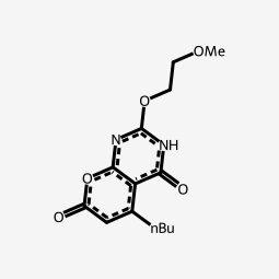 CCCCc1cc(=O)oc2nc(OCCOC)[nH]c(=O)c12